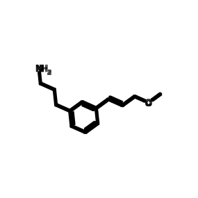 COCC=Cc1cccc(CCCN)c1